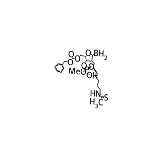 B[C@@H]1O[C@H](COC(=O)OCc2ccccc2)[C@H](OP(=O)(O)OC)C1C/C=C/CCCCNC(C)=S